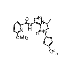 COc1cccc(C(=O)Nc2cnn3c2C(=O)N(c2ccc(C(F)(F)F)cc2)C[C@@H]3C)n1